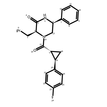 CC(C)C[C@H]1C(=O)N[C@@H](c2ccccc2)CN1C(=O)[C@@H]1C[C@H]1c1ccc(F)cc1